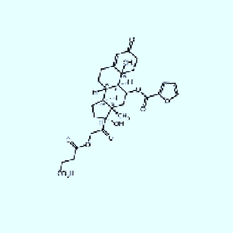 C[C@]12CCC(=O)C=C1CC[C@@H]1[C@@H]2C(OC(=O)c2ccco2)C[C@@]2(C)[C@H]1CC[C@]2(O)C(=O)COC(=O)CCC(=O)O